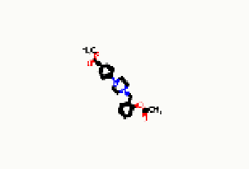 COC(=O)c1ccc(N2CCN(Cc3ccccc3OC(C)=O)CC2)cc1